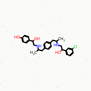 CC(Cc1ccc(CC(C)NCC(O)c2cccc(Cl)c2)cc1)NCC(O)c1ccc(O)cc1